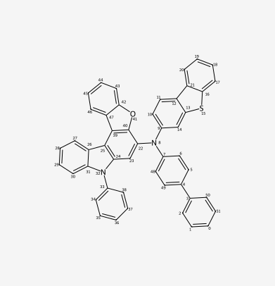 c1ccc(-c2ccc(N(c3ccc4c(c3)sc3ccccc34)c3cc4c(c5ccccc5n4-c4ccccc4)c4c3oc3ccccc34)cc2)cc1